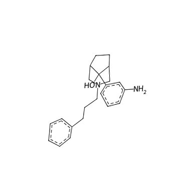 Nc1cccc(C2(O)C3CCC2CN(CCCc2ccccc2)C3)c1